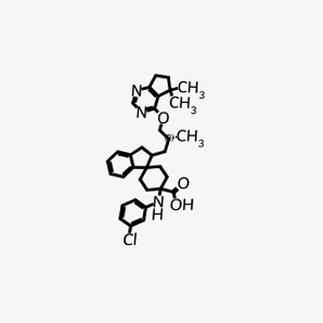 C[C@@H](COc1ncnc2c1C(C)(C)CC2)CC1Cc2ccccc2C12CCC(Nc1cccc(Cl)c1)(C(=O)O)CC2